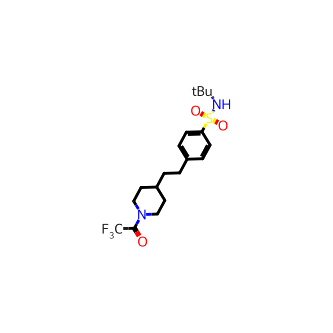 CC(C)(C)NS(=O)(=O)c1ccc(CCC2CCN(C(=O)C(F)(F)F)CC2)cc1